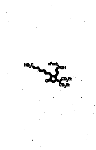 CCCCCC(O)/C=C/C1C(C/C=C/CCCC(=O)O)C(=O)CC1C(C(=O)OCC)C(=O)OCC